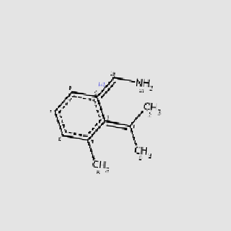 CC(C)=c1c(C)ccc/c1=C/N